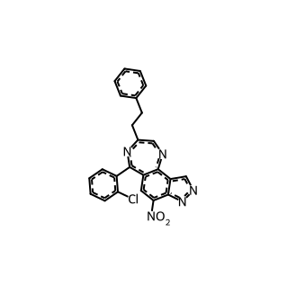 O=[N+]([O-])c1cc2c(-c3ccccc3Cl)nc(CCc3ccccc3)cnc2c2cnnc12